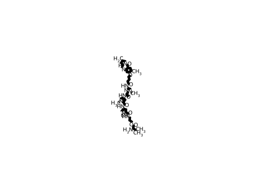 C=C1C[C@H]2C=Nc3cc(OCCCC(=O)Nc4cn(C)c(C(=O)Nc5cc(C(=O)Nc6cc(C(=O)NCCCOC(=O)C(N)C(C)C)n(C)c6)n(C)c5)n4)c(C)cc3C(=O)N2C1